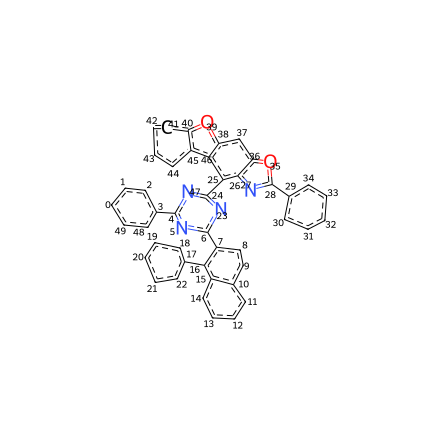 c1ccc(-c2nc(-c3ccc4ccccc4c3-c3ccccc3)nc(-c3c4nc(-c5ccccc5)oc4cc4oc5ccccc5c34)n2)cc1